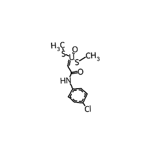 C[S][U](=[O])(=[CH]C(=O)Nc1ccc(Cl)cc1)[S]C